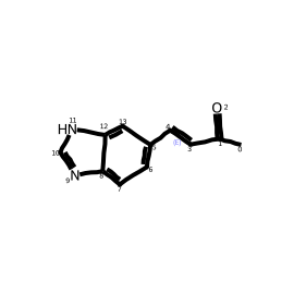 CC(=O)/C=C/c1ccc2nc[nH]c2c1